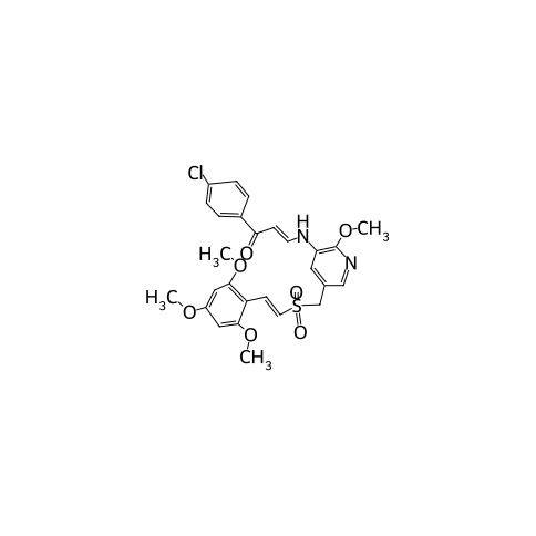 COc1cc(OC)c(/C=C/S(=O)(=O)Cc2cnc(OC)c(N/C=C/C(=O)c3ccc(Cl)cc3)c2)c(OC)c1